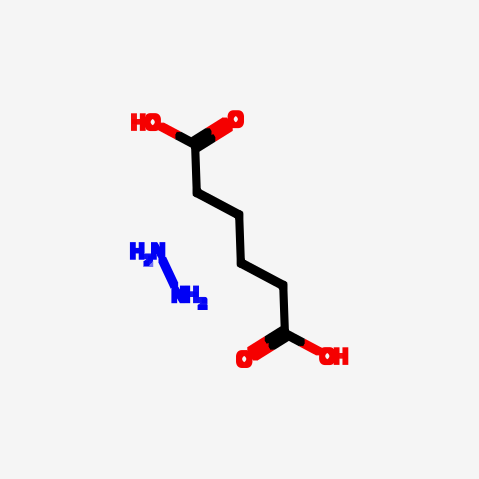 NN.O=C(O)CCCCC(=O)O